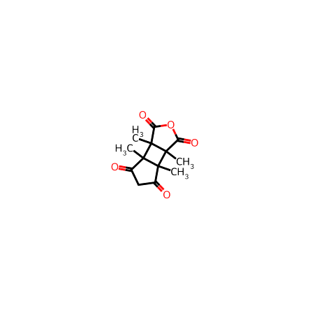 CC12C(=O)CC(=O)C1(C)C1(C)C(=O)OC(=O)C21C